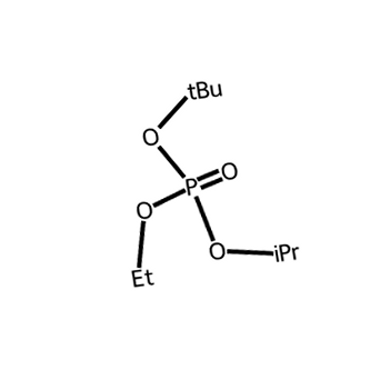 CCOP(=O)(OC(C)C)OC(C)(C)C